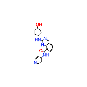 O=C(Nc1ccncc1)c1cccc2cnc(NC3CCC(O)CC3)nc12